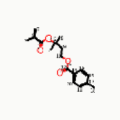 C=C(C)C(=O)OC(C)(C)CCOC(=O)c1ccc(C)cc1